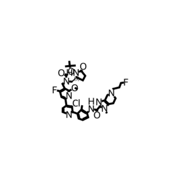 COc1nc(-c2ccnc(-c3cccc(NC(=O)c4nc5c(n4C)CCN(CCCF)C5)c3C)c2Cl)cc(F)c1CN(C[C@@H]1CCC(=O)N1)C(=O)OC(C)(C)C